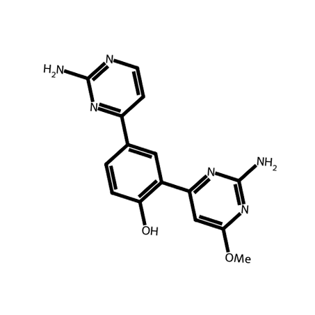 COc1cc(-c2cc(-c3ccnc(N)n3)ccc2O)nc(N)n1